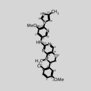 COc1ccc(Cl)c(C2COc3cnc(Nc4cnc(-n5cnc(C)c5)c(OC)c4)nc3N2C)c1